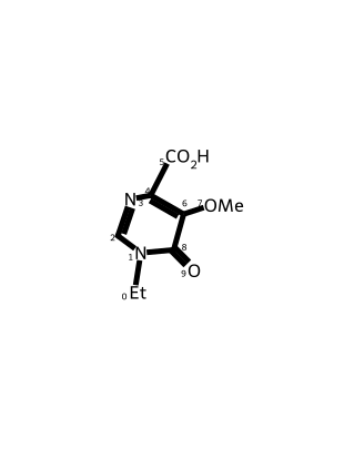 CCn1cnc(C(=O)O)c(OC)c1=O